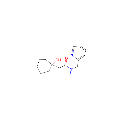 CN(Cc1ccccn1)C(=O)CC1(O)CCCCC1